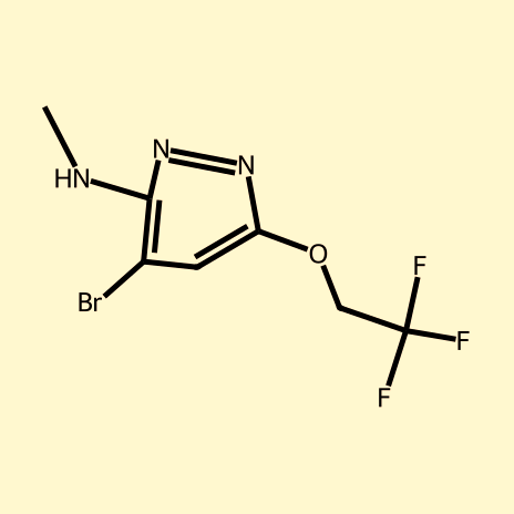 CNc1nnc(OCC(F)(F)F)cc1Br